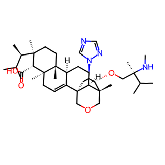 CN[C@](C)(CO[C@H]1[C@H](n2cncn2)C[C@@]23COC[C@]1(C)[C@@H]2CC[C@H]1C3=CC[C@@]2(C)[C@H](C(=O)O)[C@@](C)([C@H](C)C(C)C)CC[C@]12C)C(C)C